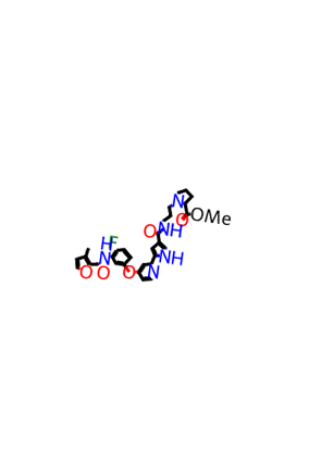 COC(=O)C1CCCN1CCCNC(=O)c1c[nH]c(-c2cc(Oc3ccc(F)c(NC(=O)c4occc4C)c3)ccn2)c1